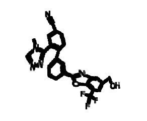 Cn1cnnc1-c1cc(C#N)ccc1-c1cccc(-c2nc3cc(CO)cc(C(F)(F)F)c3o2)c1